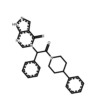 O=C(C(c1ccccc1)n1cnc2[nH]ncc2c1=S)N1CCC(c2ccccc2)CC1